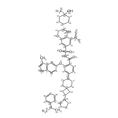 Cc1c[nH]c2ncc(Oc3cc(N4CCC5(CC4)CC(N4CCC[C@@H]4c4ccccc4C(C)C)C5)ccc3C(=O)NS(=O)(=O)c3cc4c(c([N+](=O)[O-])c3)N[C@@H](C3CCC(C)(O)CC3)CO4)cc12